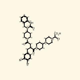 CCC(C(=O)O)N1CCN(C2CCN(C(=O)C(CC(=O)N3CCC(N4Cc5ccccc5NC4=O)CC3)Cc3ccc(Br)c(Br)c3)CC2)CC1